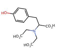 O=C(O)CN(CC(=O)O)C(Cc1ccc(O)cc1)C(=O)O